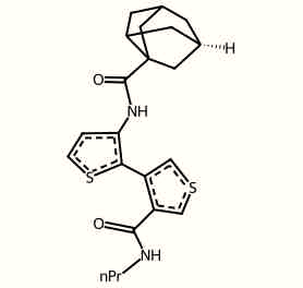 CCCNC(=O)c1cscc1-c1sccc1NC(=O)C12CC3CC1C[C@@H](C3)C2